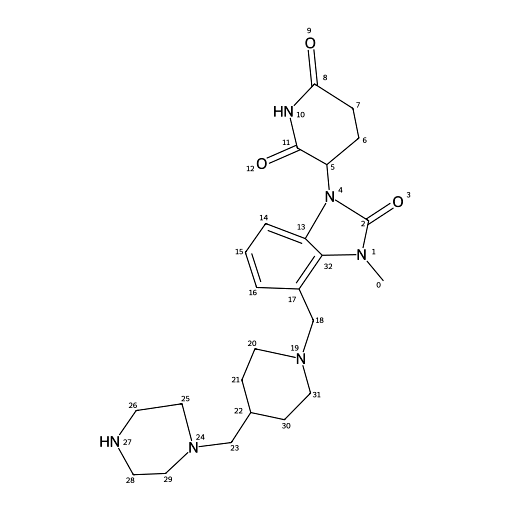 Cn1c(=O)n(C2CCC(=O)NC2=O)c2cccc(CN3CCC(CN4CCNCC4)CC3)c21